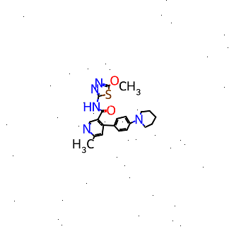 COc1nnc(NC(=O)c2cnc(C)cc2-c2ccc(N3CCCCC3)cc2)s1